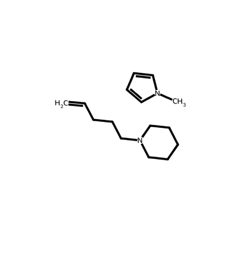 C=CCCCN1CCCCC1.Cn1cccc1